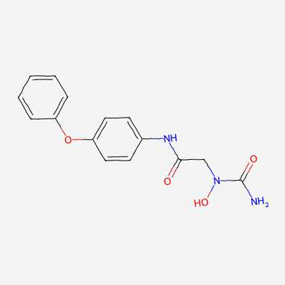 NC(=O)N(O)CC(=O)Nc1ccc(Oc2ccccc2)cc1